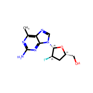 Cc1nc(N)nc2c1ncn2[C@@H]1O[C@H](CO)C[C@H]1F